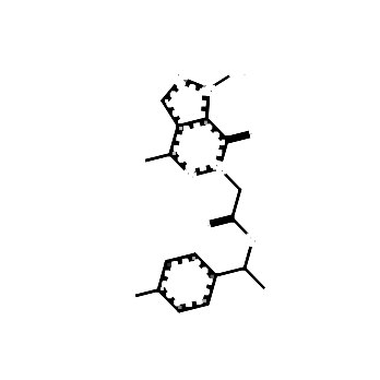 CC(C)c1nn(CC(=O)NC(C)c2ccc(C(F)(F)F)cc2)c(=O)c2c1cnn2C(C)(C)C